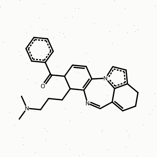 CN(C)CCCC1C2=C(C=CC1C(=O)c1ccccc1)n1ccc3c1C(=CCC3)C=N2